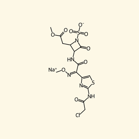 CON=C(C(=O)NC1C(=O)N(S(=O)(=O)[O-])C1CC(=O)OC)c1csc(NC(=O)CCl)n1.[Na+]